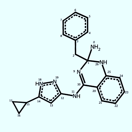 NC1(Cc2ccccc2)N=C(Nc2cc(C3CC3)[nH]n2)c2ccccc2N1